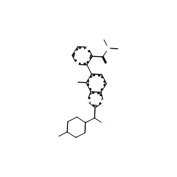 CC1CCC(C(N)c2nc3c(F)c(-c4nccnc4C(=O)N(C)C)ccc3[nH]2)CC1